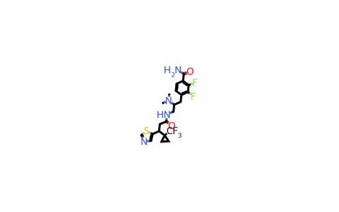 CN(C)C(CNC(=O)CC(c1cncs1)C1(C(F)(F)F)CC1)Cc1ccc(C(N)=O)c(F)c1F